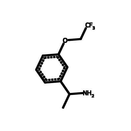 CC(N)c1cccc(OCC(F)(F)F)c1